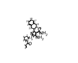 C=CC(=O)N1CCC[C@@H]1Cn1nc(C2CCc3ccccc3C2)c(C(N)=O)c1N